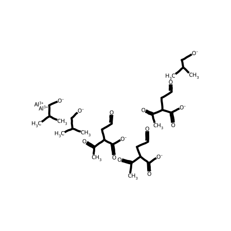 CC(=O)C(CC=O)C(=O)[O-].CC(=O)C(CC=O)C(=O)[O-].CC(=O)C(CC=O)C(=O)[O-].CC(C)C[O-].CC(C)C[O-].CC(C)C[O-].[Al+3].[Al+3]